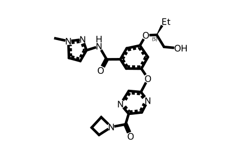 CC[C@@H](CO)Oc1cc(Oc2cnc(C(=O)N3CCC3)cn2)cc(C(=O)Nc2ccn(C)n2)c1